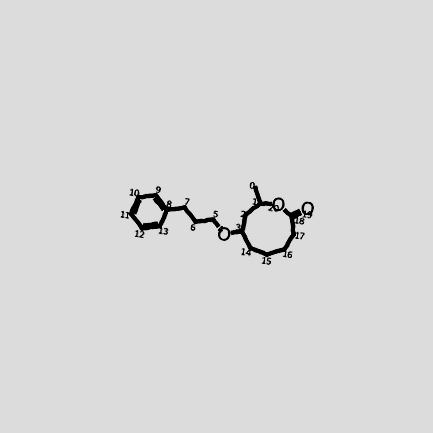 CC1CC(OCCCc2ccccc2)CCCCC(=O)O1